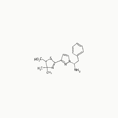 CC1(C)N=C(c2ccn(C(N)Cc3ccccc3)n2)SC1C(=O)O